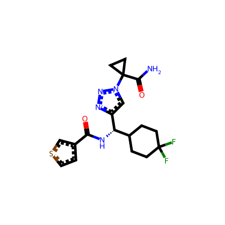 NC(=O)C1(n2cc([C@@H](NC(=O)c3ccsc3)C3CCC(F)(F)CC3)nn2)CC1